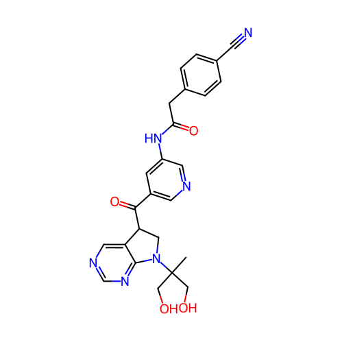 CC(CO)(CO)N1CC(C(=O)c2cncc(NC(=O)Cc3ccc(C#N)cc3)c2)c2cncnc21